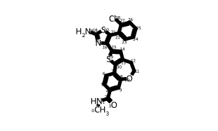 CNC(=O)c1ccc2c(c1)OCCc1cc(-c3nc(N)sc3-c3ccccc3Cl)sc1-2